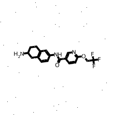 NC1CCc2cc(NC(=O)c3ccc(OCC(F)(F)F)nc3)ccc2C1